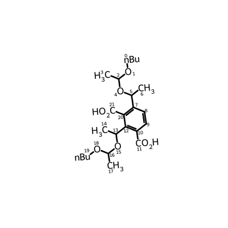 CCCCOC(C)OC(C)c1ccc(C(=O)O)c(C(C)OC(C)OCCCC)c1C(=O)O